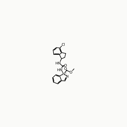 COC(=O)[N+]1(NC(=O)NC2CCc3c(Cl)cccc32)N=Cc2ccccc21